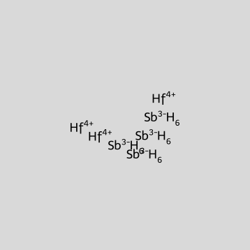 [Hf+4].[Hf+4].[Hf+4].[SbH6-3].[SbH6-3].[SbH6-3].[SbH6-3]